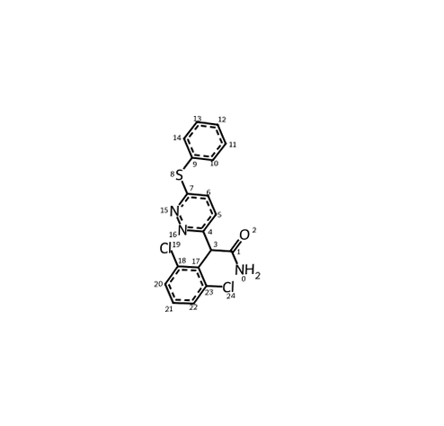 NC(=O)C(c1ccc(Sc2ccccc2)nn1)c1c(Cl)cccc1Cl